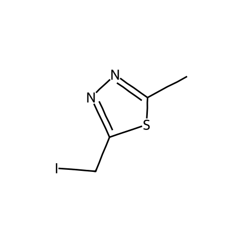 Cc1nnc(CI)s1